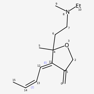 C=C1COC(C)(CCN(C)CC)/C1=C/C=C\C